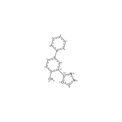 Cc1ccc(-c2ccccc2)cc1-c1nnco1